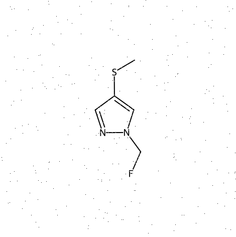 CSc1cnn(CF)c1